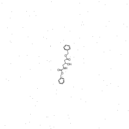 O=C(CC(O)CNC(=O)OCc1ccccc1)OCc1ccccc1